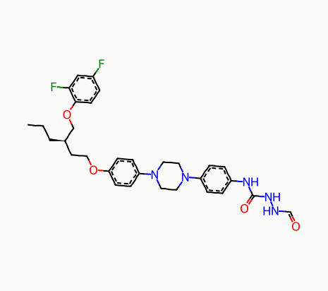 CCC[C@H](CCOc1ccc(N2CCN(c3ccc(NC(=O)NNC=O)cc3)CC2)cc1)COc1ccc(F)cc1F